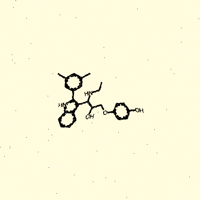 CCNC(c1c(-c2cc(C)cc(C)c2)[nH]c2ccccc12)C(O)COc1ccc(O)cc1